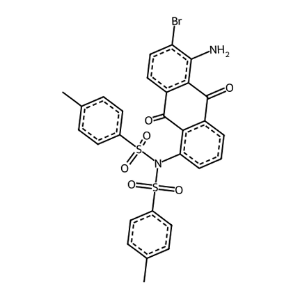 Cc1ccc(S(=O)(=O)N(c2cccc3c2C(=O)c2ccc(Br)c(N)c2C3=O)S(=O)(=O)c2ccc(C)cc2)cc1